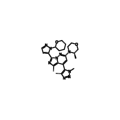 Cc1nnn(C)c1-c1cc(N2CCOC[C@H]2C)nn2c(-c3ccnn3C3CCCCO3)nc(C)c12